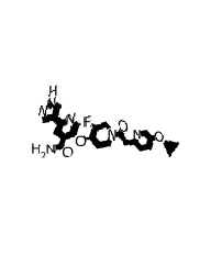 NC(=O)c1cc(-c2cn[nH]c2)ncc1O[C@@H]1CCN(C(=O)Cc2ccc(OC3CC3)cn2)C[C@@H]1F